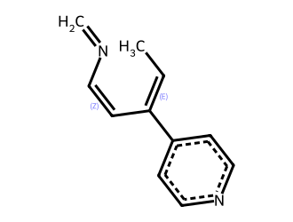 C=N/C=C\C(=C/C)c1ccncc1